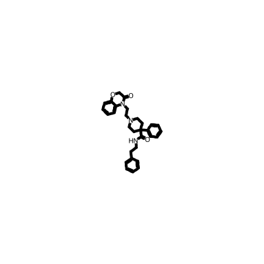 O=C1COc2ccccc2N1CCN1CCC(C(=O)NCCc2ccccc2)(c2ccccc2)CC1